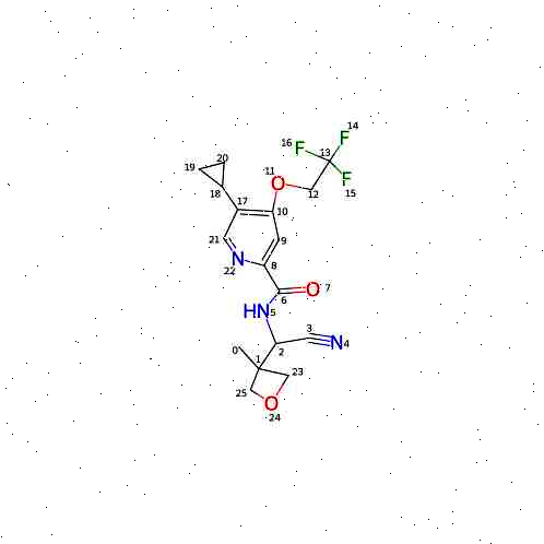 CC1(C(C#N)NC(=O)c2cc(OCC(F)(F)F)c(C3CC3)cn2)COC1